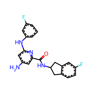 Nc1cc(Nc2cccc(F)c2)nc(C(=O)NC2Cc3ccc(F)cc3C2)c1